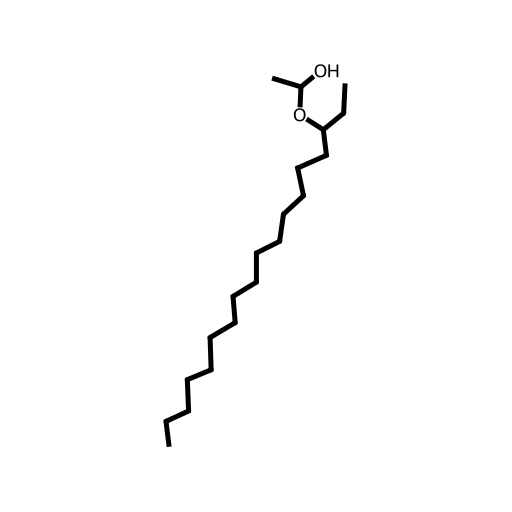 CCCCCCCCCCCCCCCC(CC)OC(C)O